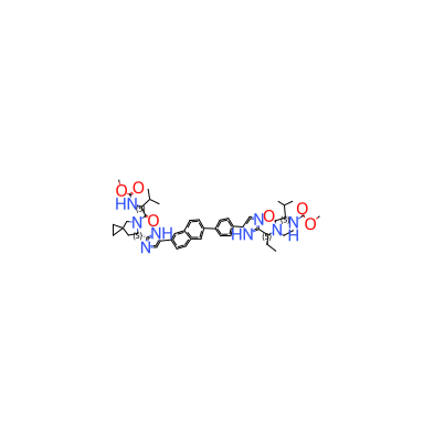 CC[C@@H](c1ncc(-c2ccc(-c3ccc4cc(-c5cnc([C@@H]6CC7(CC7)CN6C(=O)[C@@H](NC(=O)OC)C(C)C)[nH]5)ccc4c3)cc2)[nH]1)N(CC)C(=O)[C@@H](NC(=O)OC)C(C)C